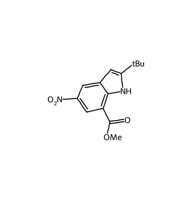 COC(=O)c1cc([N+](=O)[O-])cc2cc(C(C)(C)C)[nH]c12